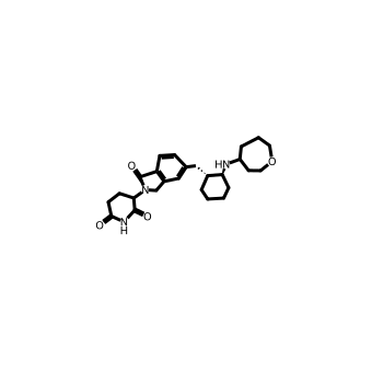 O=C1CCC(N2Cc3cc(C[C@H]4CCCC[C@@H]4NC4CCCOCC4)ccc3C2=O)C(=O)N1